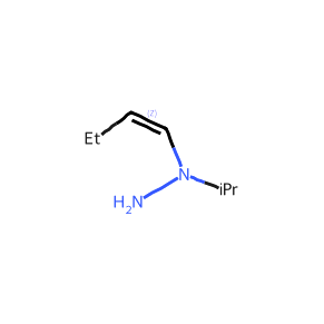 CC/C=C\N(N)C(C)C